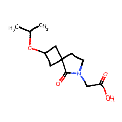 CC(C)OC1CC2(CCN(CC(=O)O)C2=O)C1